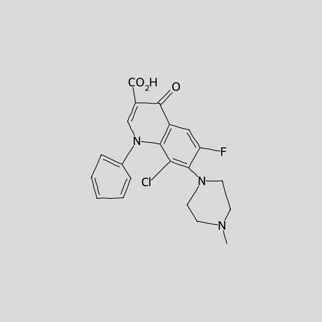 CN1CCN(c2c(F)cc3c(=O)c(C(=O)O)cn(-c4ccccc4)c3c2Cl)CC1